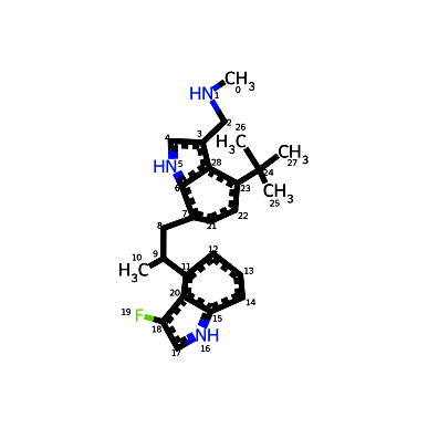 CNCc1c[nH]c2c(CC(C)c3cccc4[nH]cc(F)c34)ccc(C(C)(C)C)c12